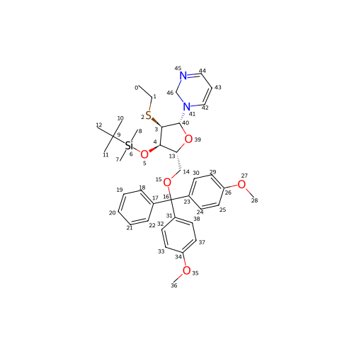 CCS[C@@H]1[C@H](O[Si](C)(C)C(C)(C)C)[C@@H](COC(c2ccccc2)(c2ccc(OC)cc2)c2ccc(OC)cc2)O[C@H]1N1C=CC=NC1